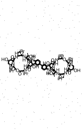 CC(C)C[C@H]1NC(=O)[C@@H]2C[C@H](O)CNN2C(=O)[C@@H](C(C)C)OC(=O)[C@H](C(C)C)NC(=O)[C@H]2C[C@]3(O)c4cc(-c5ccc6c(c5)[C@@]5(O)C[C@@H]7C(=O)N[C@@H](C(C)C)C(=O)O[C@H](C(C)C)C(=O)N8NC[C@@H](O)C[C@H]8C(=O)N[C@H](CC(C)C)C(=O)N[C@@H]([C@@H](C)O)C(=O)N7[C@H]5N6)ccc4N[C@@H]3N2C(=O)[C@H]([C@@H](C)O)NC1=O